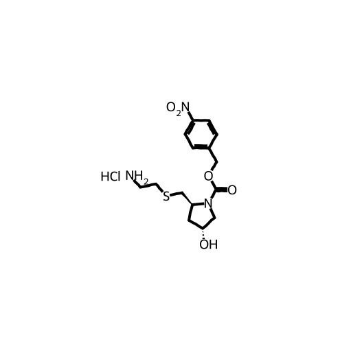 Cl.NCCSC[C@@H]1C[C@@H](O)CN1C(=O)OCc1ccc([N+](=O)[O-])cc1